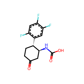 O=C1CC[C@H](c2cc(F)c(F)cc2F)[C@@H](NC(=O)O)C1